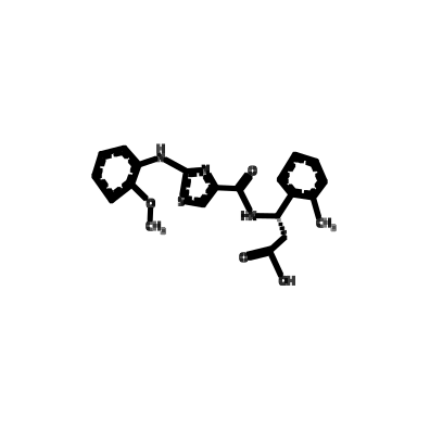 COc1ccccc1Nc1nc(C(=O)N[C@@H](CC(=O)O)c2ccccc2C)cs1